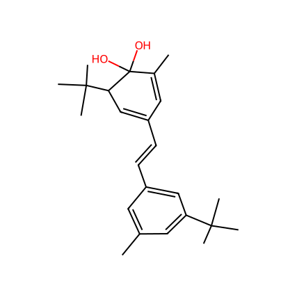 CC1=CC(C=Cc2cc(C)cc(C(C)(C)C)c2)=CC(C(C)(C)C)C1(O)O